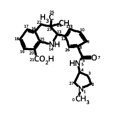 CN1CCC(NC(=O)c2cccc(C3Nc4c(cccc4C(=O)O)CC3(C)C)c2)C1